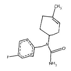 CC1=CCC(N(C(N)=O)c2ccc(F)cc2)CC1